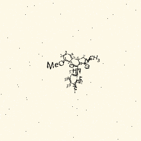 COc1cccc(C2CN(C)C(=O)C2C(=O)Nc2cccc(F)c2F)c1